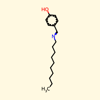 CCCCCCCCCC/N=C/c1ccc(O)cc1